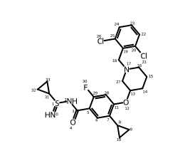 N=S(NC(=O)c1cc(C2CC2)c(OC2CCCN(Cc3c(Cl)cccc3Cl)C2)cc1F)C1CC1